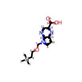 C[Si](C)(C)CCOCn1ccc2nc(C(=O)O)cnc21